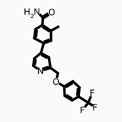 Cc1cc(-c2ccnc(COc3ccc(C(F)(F)F)cc3)c2)ccc1C(N)=O